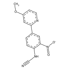 COc1ccnc(-c2ccc(NC#N)c([N+](=O)[O-])c2)c1